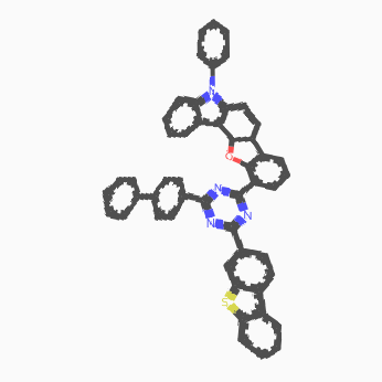 C1=CC2c3cccc(-c4nc(-c5ccc(-c6ccccc6)cc5)nc(-c5ccc6c(c5)sc5ccccc56)n4)c3OC2c2c1n(-c1ccccc1)c1ccccc21